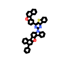 c1ccc(-c2cc3oc4c(ccc5c4c4ccccc4n5-c4nc(-c5ccc6oc7ccc8ccccc8c7c6c5)c5sc6ccccc6c5n4)c3c3ccccc23)cc1